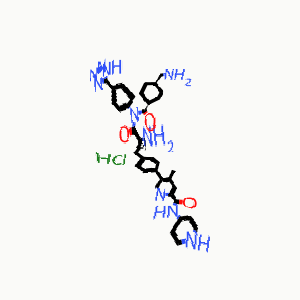 Cc1cc(C(=O)NC2CCNCC2)ncc1-c1ccc(C[C@H](N)C(=O)N(c2ccc(-c3nnn[nH]3)cc2)C(=O)[C@H]2CC[C@H](CN)CC2)cc1.Cl